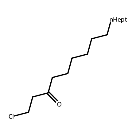 CCCCCCCCCCCCCC(=O)CCCl